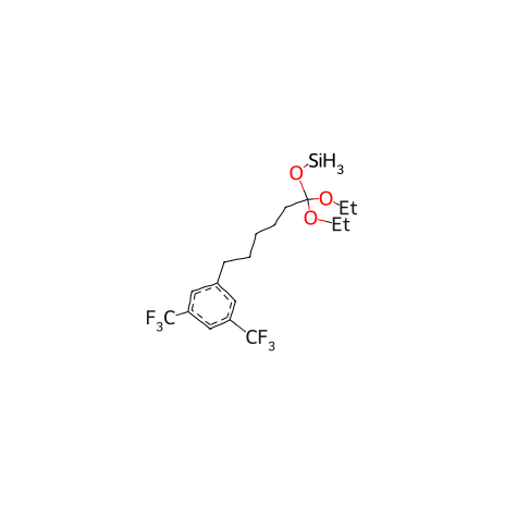 CCOC(CCCCCc1cc(C(F)(F)F)cc(C(F)(F)F)c1)(O[SiH3])OCC